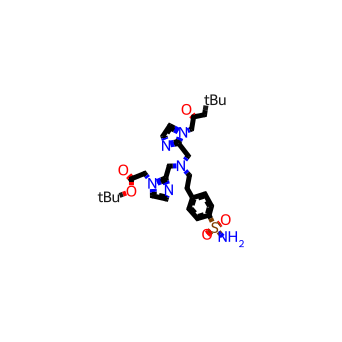 CC(C)(C)CC(=O)Cn1ccnc1CN(CCc1ccc(S(N)(=O)=O)cc1)Cc1nccn1CC(=O)OC(C)(C)C